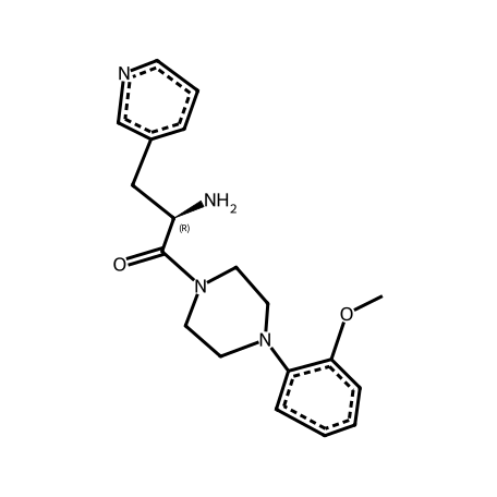 COc1ccccc1N1CCN(C(=O)[C@H](N)Cc2cccnc2)CC1